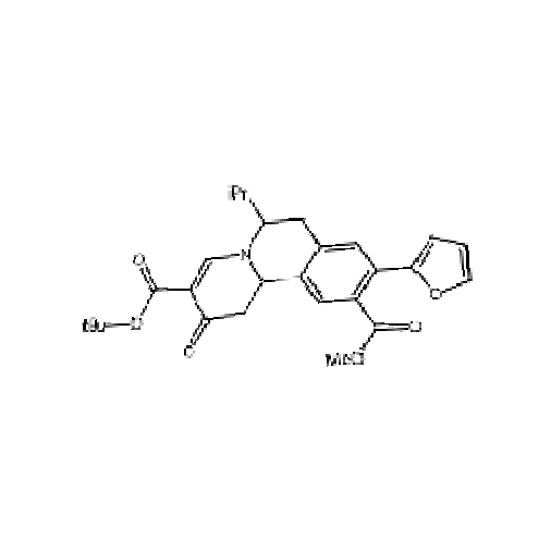 COC(=O)c1cc2c(cc1-c1ccco1)CC(C(C)C)N1C=C(C(=O)OC(C)(C)C)C(=O)CC21